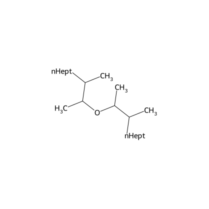 CCCCCCCC(C)C(C)OC(C)C(C)CCCCCCC